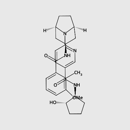 COc1cccc(C(=O)N[C@H]2C[C@H]3CC[C@@H](C2)N3c2ccc(C(=O)N[C@H]3CCC[C@@H]3O)cn2)c1C